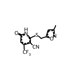 Cc1cc(CSc2[nH]c(=O)cc(C(F)(F)F)c2C#N)on1